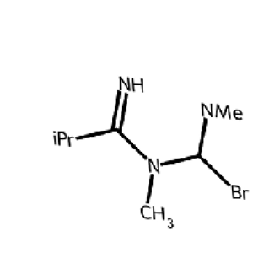 CNC(Br)N(C)C(=N)C(C)C